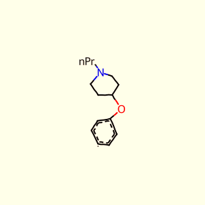 CCCN1CCC(Oc2cc[c]cc2)CC1